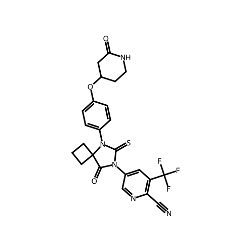 N#Cc1ncc(N2C(=O)C3(CCC3)N(c3ccc(OC4CCNC(=O)C4)cc3)C2=S)cc1C(F)(F)F